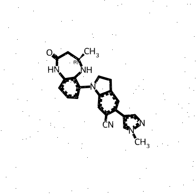 C[C@@H]1CC(=O)Nc2cccc(N3CCc4cc(-c5cnn(C)c5)c(C#N)cc43)c2N1